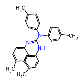 Cc1ccc(/N=C(\Nc2ccc(C)cc2)N(c2ccc(C)cc2)c2ccc(C)cc2)cc1